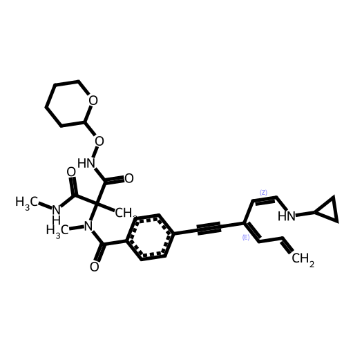 C=C/C=C(C#Cc1ccc(C(=O)N(C)C(C)(C(=O)NC)C(=O)NOC2CCCCO2)cc1)\C=C/NC1CC1